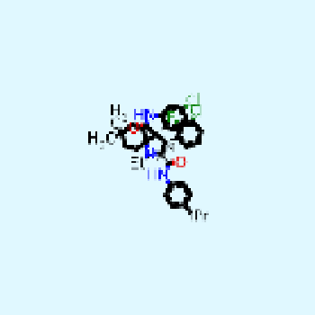 CCN1[C@@H](C(=O)Nc2ccc(C(C)C)cc2)[C@H](c2cccc(Cl)c2F)[C@]2(C(=O)Nc3cc(Cl)ccc32)C12CCC(C)(C)CC2